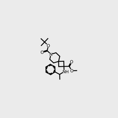 COC(=O)C1(NC(C)c2ccccc2)CC2(CCN(C(=O)OC(C)(C)C)CC2)C1